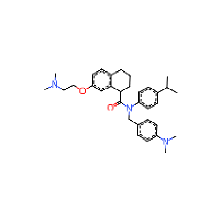 CC(C)c1ccc(N(Cc2ccc(N(C)C)cc2)C(=O)C2CCCc3ccc(OCCN(C)C)cc32)cc1